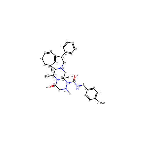 COc1ccc(CNC(=O)N2[C@H]3CN4CC(c5ccccc5)C5=CC(C)(CCC=C5)C4[C@H](C(C)C)N3C(=O)CN2C)cc1